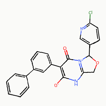 O=c1c(-c2cccc(-c3ccccc3)c2)c([O-])[nH]c2[n+]1C(c1ccc(Cl)nc1)OC2